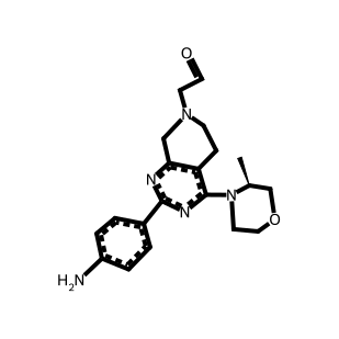 C[C@H]1COCCN1c1nc(-c2ccc(N)cc2)nc2c1CCN(CC=O)C2